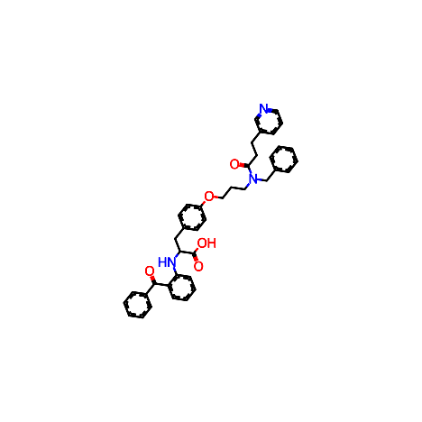 O=C(c1ccccc1)c1ccccc1NC(Cc1ccc(OCCCN(Cc2ccccc2)C(=O)CCc2cccnc2)cc1)C(=O)O